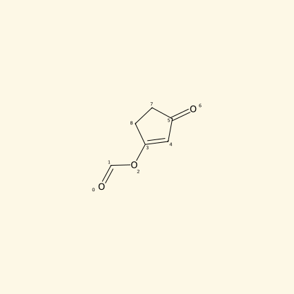 O=COC1=CC(=O)CC1